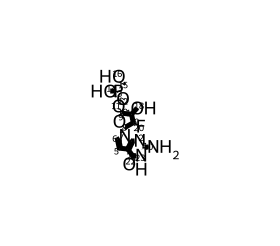 Nc1nc2c(ccn2[C@@H]2O[C@H](OOP(O)CO)C(O)[C@@H]2F)c(=O)[nH]1